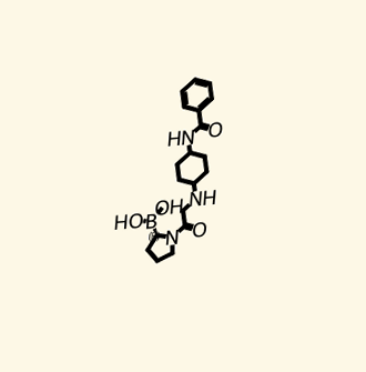 O=C(NC1CCC(NCC(=O)N2CCC[C@H]2B(O)O)CC1)c1ccccc1